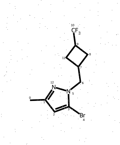 Cc1cc(Br)n(CC2CC(C(F)(F)F)C2)n1